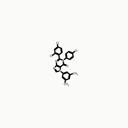 Cc1cc(C)cc(-n2cnc3nc(-c4ccc(Cl)cc4Cl)n(-c4ccc(Cl)cc4)c(=O)c32)c1